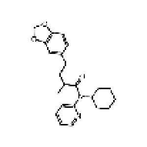 CC(CCc1ccc2c(c1)OCO2)C(=O)N(c1ccccn1)C1CCCCC1